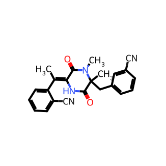 CC(=C1NC(=O)C(C)(Cc2cccc(C#N)c2)N(C)C1=O)c1ccccc1C#N